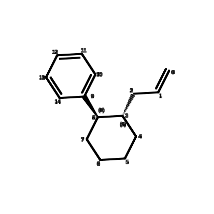 C=CC[C@@H]1CCCC[C@H]1c1ccccc1